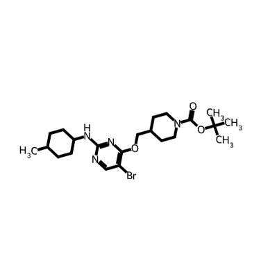 CC1CCC(Nc2ncc(Br)c(OCC3CCN(C(=O)OC(C)(C)C)CC3)n2)CC1